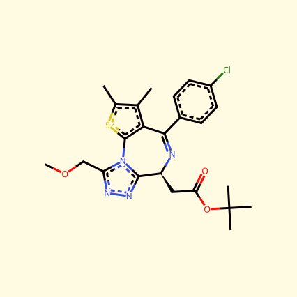 COCc1nnc2n1-c1sc(C)c(C)c1C(c1ccc(Cl)cc1)=N[C@H]2CC(=O)OC(C)(C)C